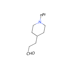 CCCN1CCC(CCC=O)CC1